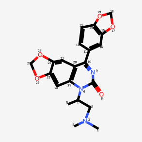 CC(CN(C)C)n1c(=O)nc(-c2ccc3c(c2)OCO3)c2cc3c(cc21)OCO3